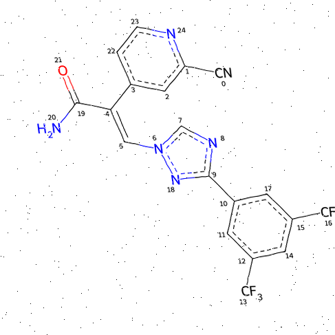 N#Cc1cc(/C(=C\n2cnc(-c3cc(C(F)(F)F)cc(C(F)(F)F)c3)n2)C(N)=O)ccn1